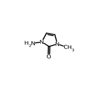 Cn1ccn(N)c1=O